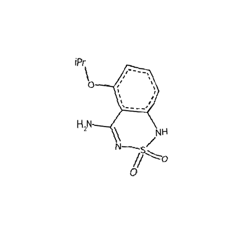 CC(C)Oc1cccc2c1C(N)=NS(=O)(=O)N2